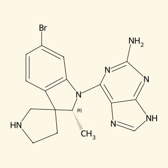 C[C@H]1N(c2nc(N)nc3[nH]cnc23)c2cc(Br)ccc2C12CCNC2